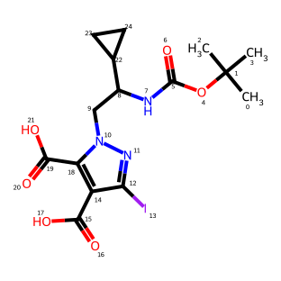 CC(C)(C)OC(=O)NC(Cn1nc(I)c(C(=O)O)c1C(=O)O)C1CC1